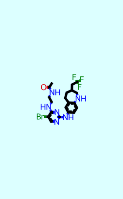 CC(=O)NCCNc1nc(Nc2ccc3c(c2)CCC(CC(F)(F)F)CN3)ncc1Br